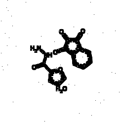 NNC(=O)c1ccco1.O.O=c1c(=O)c2ccccc2c1=O